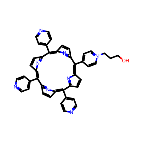 OCCC[n+]1ccc(C2=C3C=CC(=N3)C(c3ccncc3)=C3C=CC(=N3)C(c3ccncc3)=C3C=CC(=N3)C(c3ccncc3)=C3C=CC2=N3)cc1